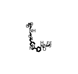 CS(=O)(=O)CCNCCON=Cc1ccn2c(-c3cccc(NC(=O)NCC(F)(F)F)c3)cnc2c1